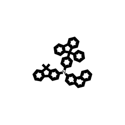 CC1(C)c2ccccc2-c2ccc(N(c3ccc(C4(c5ccccc5)c5ccccc5-c5ccccc54)cc3)c3ccc4ccc5ccccc5c4c3)cc21